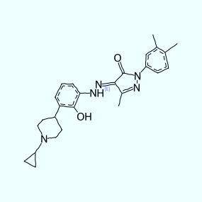 CC1=NN(c2ccc(C)c(C)c2)C(=O)/C1=N/Nc1cccc(C2CCN(C3CC3)CC2)c1O